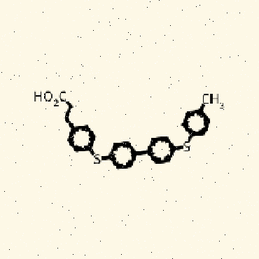 Cc1ccc(Sc2ccc(-c3ccc(Sc4ccc(CCC(=O)O)cc4)cc3)cc2)cc1